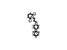 O=C1CCCC(=O)N1CCCN1CCN(c2ncccn2)CC1